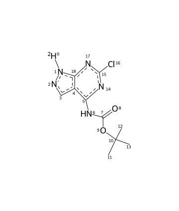 [2H]n1ncc2c(NC(=O)OC(C)(C)C)nc(Cl)nc21